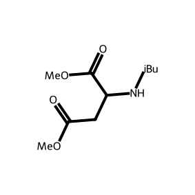 CCC(C)NC(CC(=O)OC)C(=O)OC